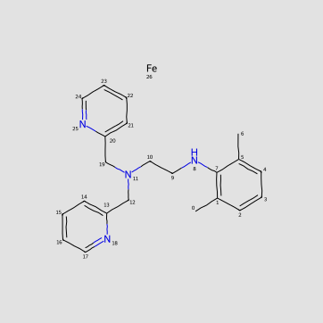 Cc1cccc(C)c1NCCN(Cc1ccccn1)Cc1ccccn1.[Fe]